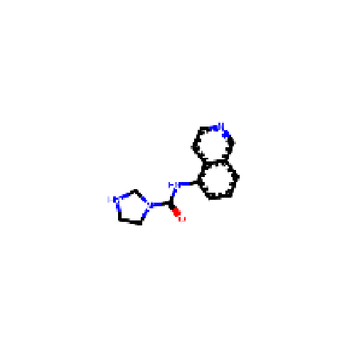 O=C(Nc1cccc2cnccc12)N1CCNC1